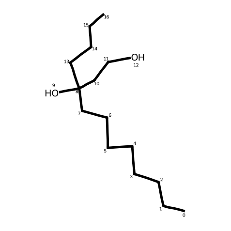 CCCCCCCCC(O)(CCO)CCCC